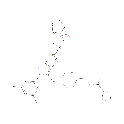 Cc1cc(C)cc(-c2[nH]c3sc(C(C)(C)CC4C5CCC4C(=O)N5)cc3c2CN2CCC(CNC(=O)C3CCC3)CC2)c1